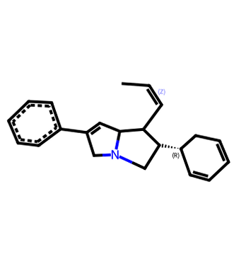 C/C=C\C1C([C@H]2C=CC=CC2)CN2CC(c3ccccc3)=CC12